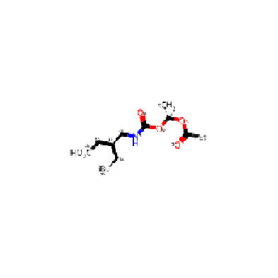 CCC(=O)O[C@@H](C)OC(=O)NC[C@H](CC(=O)O)C[C@H](C)CC